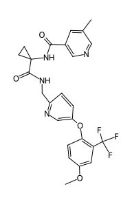 COc1ccc(Oc2ccc(CNC(=O)C3(NC(=O)c4cncc(C)c4)CC3)nc2)c(C(F)(F)F)c1